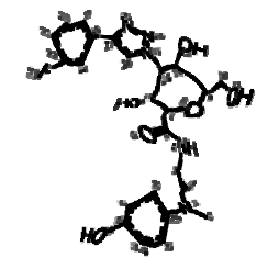 CN(CCNC(=O)[C@@H]1O[C@H](CO)[C@H](O)[C@H](n2cc(-c3cccc(F)c3)nn2)[C@H]1O)c1ccc(O)cc1